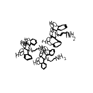 NCCN(C(C(=O)[O-])c1ccccc1O)C(C(=O)[O-])c1ccccc1O.NCCN(C(C(=O)[O-])c1ccccc1O)C(C(=O)[O-])c1ccccc1O.NCCN(C(C(=O)[O-])c1ccccc1O)C(C(=O)[O-])c1ccccc1O.[Fe+3].[Fe+3]